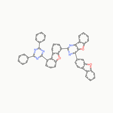 c1ccc(-c2nc(-c3ccccc3)nc(-c3cccc4oc5c(-c6nc(-c7ccc8c(c7)oc7ccccc78)c7oc8ccccc8c7n6)cccc5c34)n2)cc1